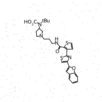 CC(C)(C)N(C(=O)O)C1CCN(CCCNC(=O)c2sccc2-c2nc(-c3cc4ccccc4o3)cs2)C1